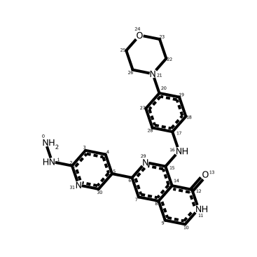 NNc1ccc(-c2cc3cc[nH]c(=O)c3c(Nc3ccc(N4CCOCC4)cc3)n2)cn1